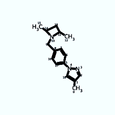 Cc1cnn(-c2ccc(CN3C(C)CC3C)cc2)c1